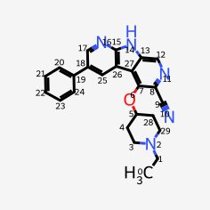 CCN1CCC(Oc2c(C#N)ncc3[nH]c4ncc(-c5ccccc5)cc4c23)CC1